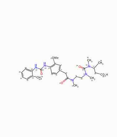 COc1cc(CC(=O)N(C)CCN(C)C(=O)N(C)C(C)CC(=O)O)ccc1NC(=O)Nc1ccccc1C